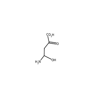 NC(O)CC(=O)C(=O)O